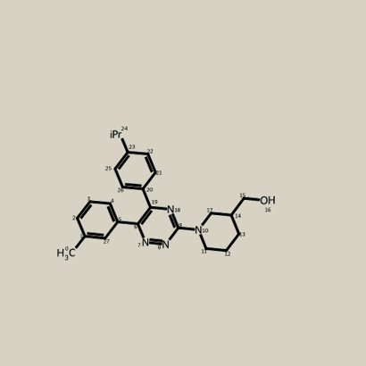 Cc1cccc(-c2nnc(N3CCCC(CO)C3)nc2-c2ccc(C(C)C)cc2)c1